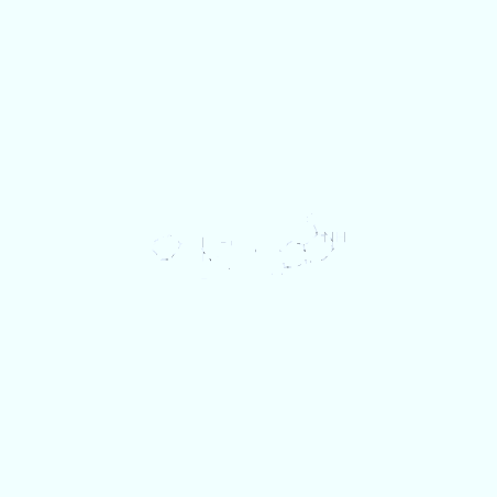 CCC(NCc1ccccc1)C1(CC)CCC(Oc2cc3cc[nH]c(=O)c3cc2Cl)CC1